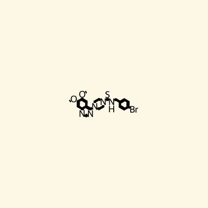 COc1cc2ncnc(N3CCN(C(=S)NCc4ccc(Br)cc4)CC3)c2cc1OC